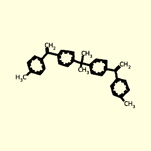 C=C(c1ccc(C)cc1)c1ccc(C(C)(C)c2ccc(C(=C)c3ccc(C)cc3)cc2)cc1